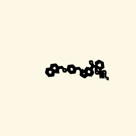 CC1(C(=O)c2ccc3ccn(Cc4ccc(OCc5ccc6ccccc6n5)cc4)c3c2)C=CC=CC1S(N)(=O)=O